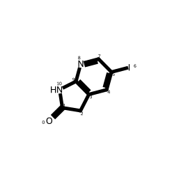 O=C1Cc2cc(I)cnc2N1